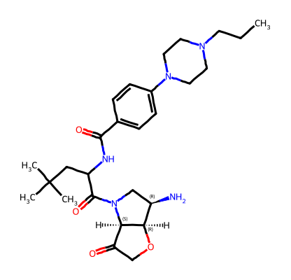 CCCN1CCN(c2ccc(C(=O)NC(CC(C)(C)C)C(=O)N3C[C@@H](N)[C@H]4OCC(=O)[C@H]43)cc2)CC1